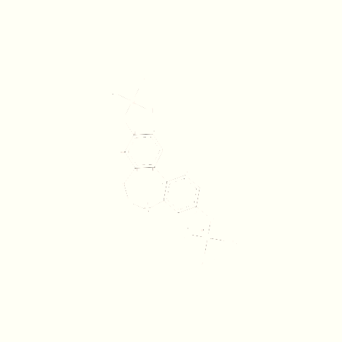 CC(C)(C)[Si](C)(C)Oc1ccc2c(c1)CONc1cc(O[Si](C)(C)C(C)(C)C)ccc1-2